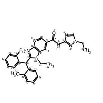 CCn1cnc(NC(=O)c2cnc3nc(C(c4ccccc4C)c4ccccc4F)n(CC)c3c2)n1